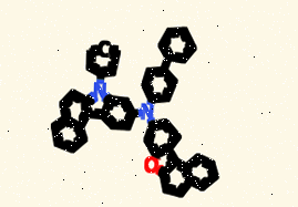 c1ccc(-c2ccc(N(c3ccc4c(c3)oc3ccc5ccccc5c34)c3ccc4c5c6ccccc6ccc5n(-c5ccccc5)c4c3)cc2)cc1